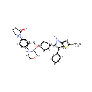 CCOC(=O)c1cc2c(s1)c(-c1ccccc1)c(-c1ccc(OCc3cc(N4CCCC4=O)ccc3N3CCOCC3)cc1)n2C